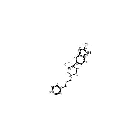 C[C@H]1CN(CCCc2ccccc2)CC[C@]1(C)c1ccc2[nH]c(C(F)(F)F)nc2c1